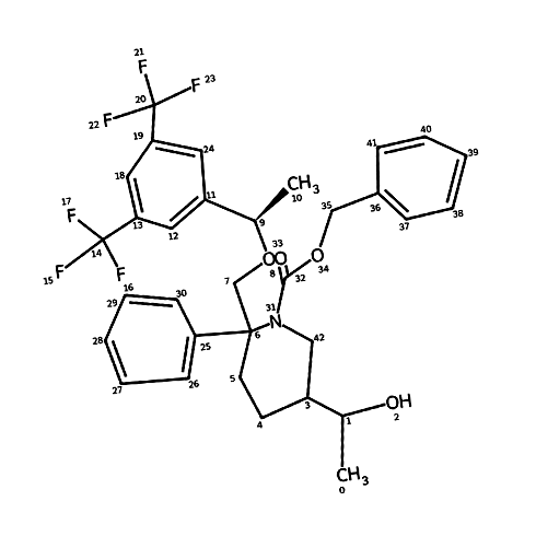 CC(O)C1CCC(CO[C@H](C)c2cc(C(F)(F)F)cc(C(F)(F)F)c2)(c2ccccc2)N(C(=O)OCc2ccccc2)C1